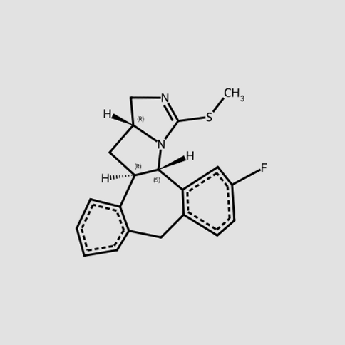 CSC1=NC[C@H]2C[C@@H]3c4ccccc4Cc4ccc(F)cc4[C@H]3N12